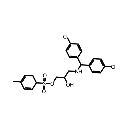 CC1=CCC(S(=O)(=O)OCC(O)CNC(c2ccc(Cl)cc2)c2ccc(Cl)cc2)C=C1